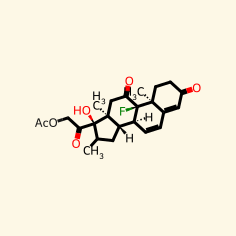 CC(=O)OCC(=O)[C@@]1(O)C(C)C[C@H]2[C@@H]3C=CC4=CC(=O)CC[C@]4(C)[C@@]3(F)C(=O)C[C@@]21C